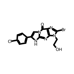 O=c1c2nc(Br)n(CCO)c2nc2[nH]c(-c3ccc(Cl)cc3)cn12